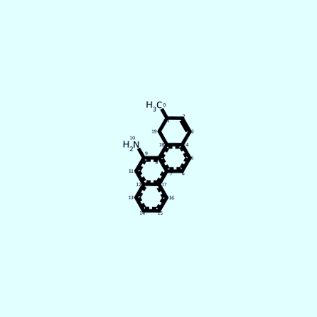 CC1C=Cc2ccc3c(c(N)cc4ccccc43)c2C1